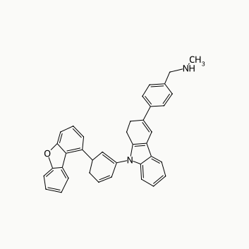 CNCc1ccc(C2=Cc3c(n(C4=CC(c5cccc6oc7ccccc7c56)CC=C4)c4ccccc34)CC2)cc1